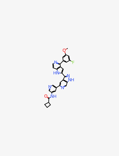 COc1cc(F)cc(-c2nccc3[nH]c(-c4n[nH]c5cnc(-c6cncc(NC(=O)C7CCC7)c6)cc45)cc23)c1